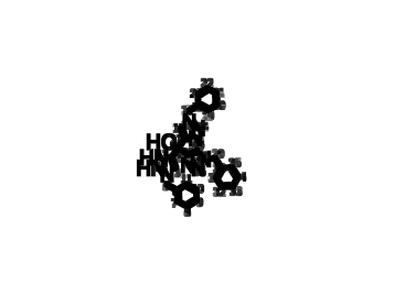 OC(C1=CN(Cc2ccccc2)NN1)(c1cn(Cc2ccccc2)nn1)c1cn(Cc2ccccc2)nn1